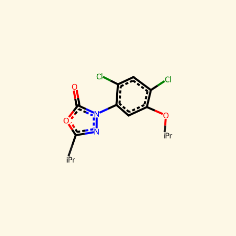 CC(C)Oc1cc(-n2nc(C(C)C)oc2=O)c(Cl)cc1Cl